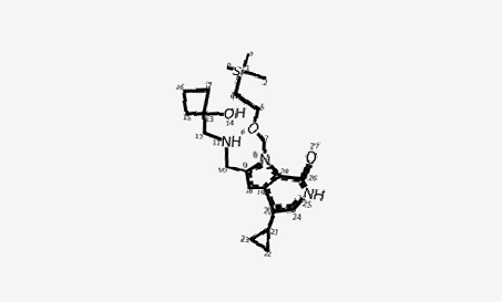 C[Si](C)(C)CCOCn1c(CNCC2(O)CCC2)cc2c(C3CC3)c[nH]c(=O)c21